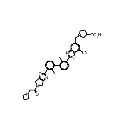 Cc1c(-c2nc3c(o2)CN(C(=O)CN2CCC2)C3)cccc1-c1cccc(-c2nc3cc(CN4CCC(C(=O)O)C4)cc(C#N)c3o2)c1C